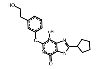 CCCn1c(Oc2cccc(CCO)c2)nc(=O)c2c1N=C(C1CCCC1)[N]2